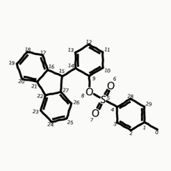 Cc1ccc(S(=O)(=O)Oc2ccccc2C2c3ccccc3-c3ccccc32)cc1